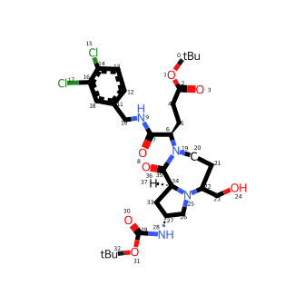 CC(C)(C)OC(=O)CC[C@H](C(=O)NCc1ccc(Cl)c(Cl)c1)N1CCC(CO)N2C[C@H](NC(=O)OC(C)(C)C)C[C@H]2C1=O